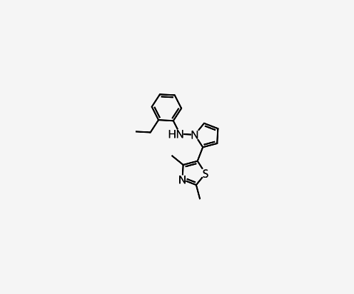 CCc1ccccc1Nn1cccc1-c1sc(C)nc1C